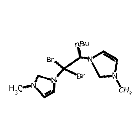 CCCCC(N1C=CN(C)C1)C(Br)(Br)N1C=CN(C)C1